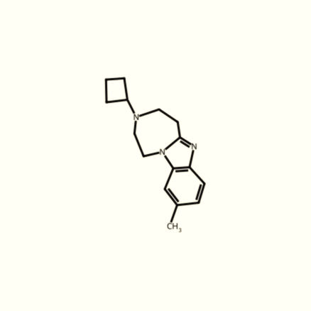 Cc1ccc2nc3n(c2c1)CCN(C1CCC1)CC3